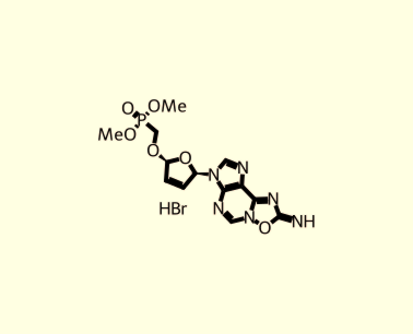 Br.COP(=O)(CO[C@@H]1C=C[C@H](n2cnc3c2ncn2oc(=N)nc32)O1)OC